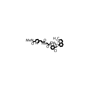 CNC(=O)c1ccc(C=CC(=O)NCC(=O)N(C)c2ccc(Cl)c(COc3cccc4ccc(C)nc34)c2Cl)cn1